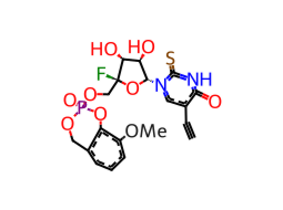 C#Cc1cn([C@@H]2O[C@](F)(COP3(=O)OCc4cccc(OC)c4O3)[C@@H](O)[C@H]2O)c(=S)[nH]c1=O